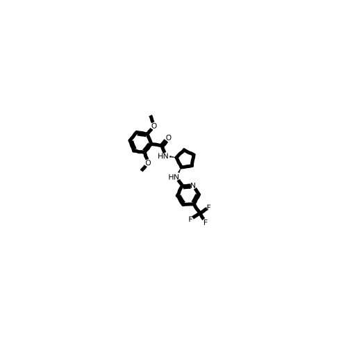 COc1cccc(OC)c1C(=O)N[C@@H]1CCC[C@@H]1Nc1ccc(C(F)(F)F)cn1